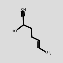 C#CC(O)CC/C=C/C